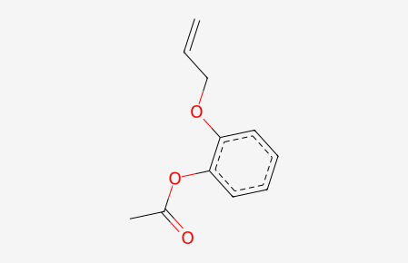 C=CCOc1ccccc1OC(C)=O